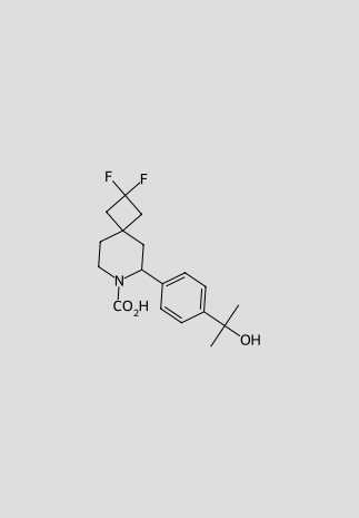 CC(C)(O)c1ccc(C2CC3(CCN2C(=O)O)CC(F)(F)C3)cc1